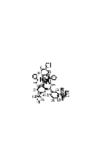 CC(=O)Nc1ccc(Cl)cc1C(=O)N(CCc1cccc(C(F)(F)F)c1)Cc1ccc(C(C)(C)C)cc1